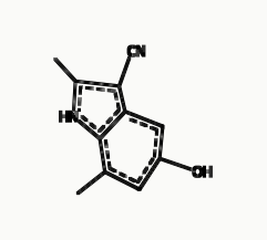 Cc1[nH]c2c(C)cc(O)cc2c1C#N